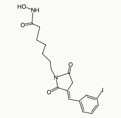 O=C(CCCCCCN1C(=O)C/C(=C\c2cccc(I)c2)C1=O)NO